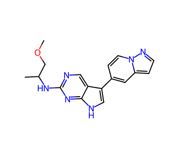 COCC(C)Nc1ncc2c(-c3ccn4nccc4c3)c[nH]c2n1